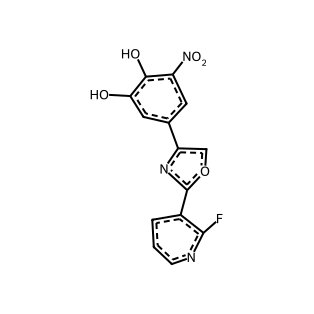 O=[N+]([O-])c1cc(-c2coc(-c3cccnc3F)n2)cc(O)c1O